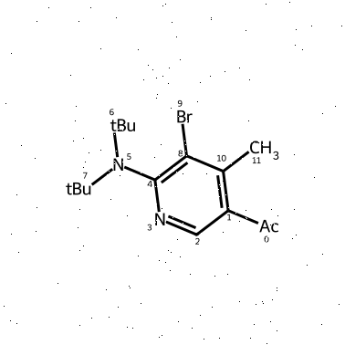 CC(=O)c1cnc(N(C(C)(C)C)C(C)(C)C)c(Br)c1C